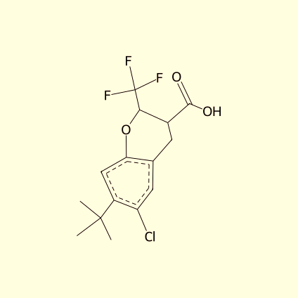 CC(C)(C)c1cc2c(cc1Cl)CC(C(=O)O)C(C(F)(F)F)O2